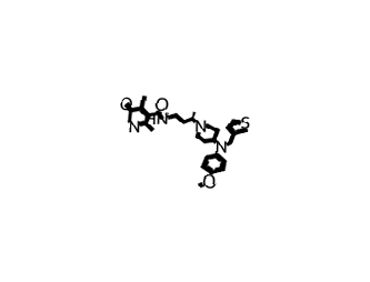 COc1ccc(N(Cc2ccsc2)C2CCN([C@H](C)CCNC(=O)C3=C(C)C(=O)CN=C3C)CC2)cc1